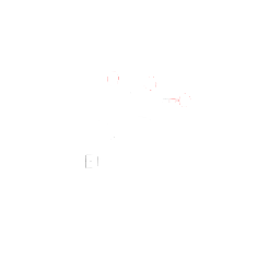 CCC(C)=C(C)C1CC(=O)OC1=O